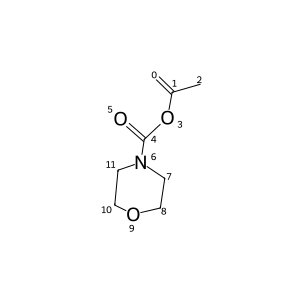 C=C(C)OC(=O)N1CCOCC1